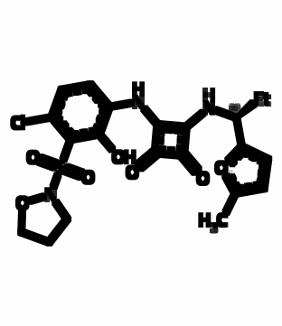 CC[C@H](Nc1c(Nc2ccc(Cl)c(S(=O)(=O)N3CCCO3)c2O)c(=O)c1=O)c1ccc(C)o1